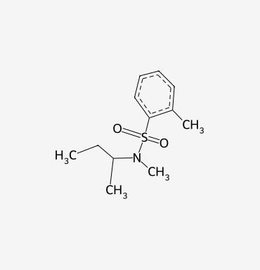 CCC(C)N(C)S(=O)(=O)c1ccccc1C